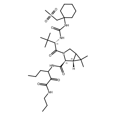 CCCNC(=O)C(=O)C(CCC)NC(=O)[C@@H]1[C@@H]2C(CN1C(=O)[C@@H](NC(=O)NC1(CS(C)(=O)=O)CCCCC1)C(C)(C)C)C2(C)C